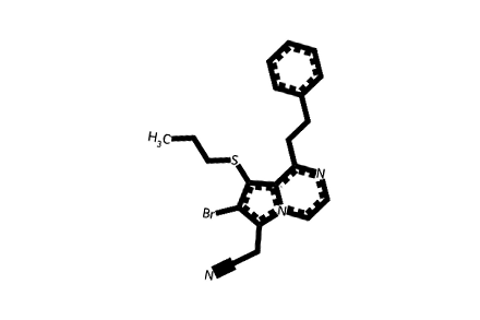 CCCSc1c(Br)c(CC#N)n2ccnc(CCc3ccccc3)c12